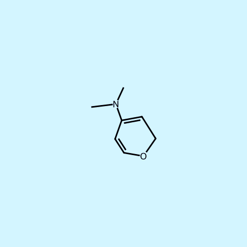 CN(C)C1=CCOC=C1